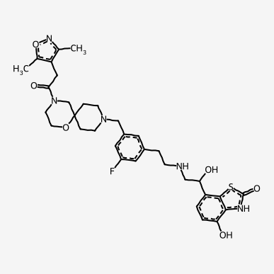 Cc1noc(C)c1CC(=O)N1CCOC2(CCN(Cc3cc(F)cc(CCNCC(O)c4ccc(O)c5[nH]c(=O)sc45)c3)CC2)C1